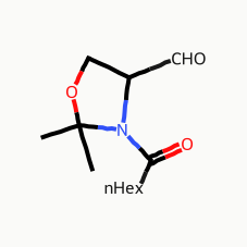 CCCCCCC(=O)N1C(C=O)COC1(C)C